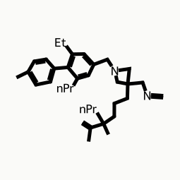 C=NCC1(CCCC(C)(CCC)C(=C)C)CN(Cc2cc(CC)c(-c3ccc(C)cc3)c(CCC)c2)C1